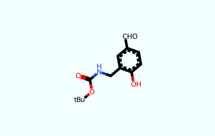 CC(C)(C)OC(=O)NCc1cc(C=O)ccc1O